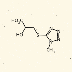 Cn1nnnc1SCC(O)C(=O)O